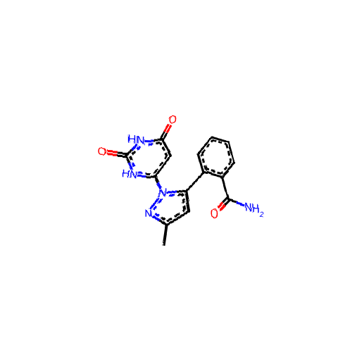 Cc1cc(-c2ccccc2C(N)=O)n(-c2cc(=O)[nH]c(=O)[nH]2)n1